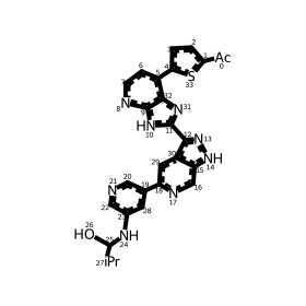 CC(=O)c1ccc(-c2ccnc3[nH]c(-c4n[nH]c5cnc(-c6cncc(NC(O)C(C)C)c6)cc45)nc23)s1